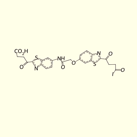 O=C(O)CCC(=O)c1nc2ccc(NC(=O)COc3ccc4nc(C(=O)CCC(=O)I)sc4c3)cc2s1